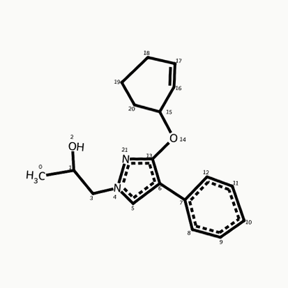 CC(O)Cn1cc(-c2ccccc2)c(OC2C=CCCC2)n1